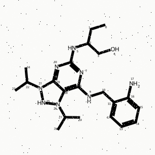 CCC(CO)Nc1nc(NCc2ccccc2N)c2c(n1)N(C(C)C)NN2C(C)C